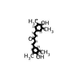 Cc1cc(C=CC(=O)C=Cc2cc(C)c(O)c(C)c2)cc(C)c1O